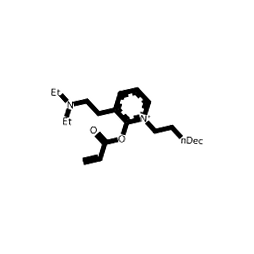 C=CC(=O)Oc1c(CCN(CC)CC)ccc[n+]1CCCCCCCCCCCC